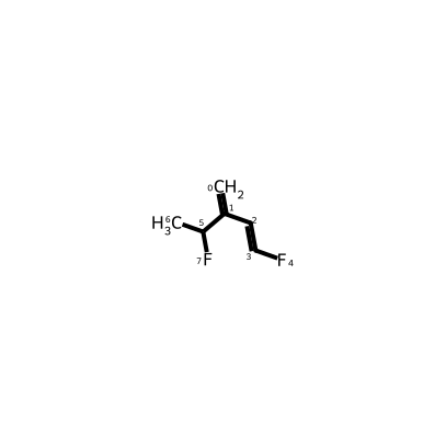 C=C(/C=C/F)C(C)F